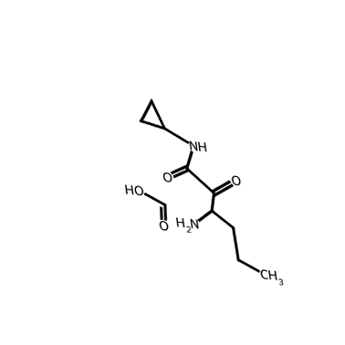 CCCC(N)C(=O)C(=O)NC1CC1.O=CO